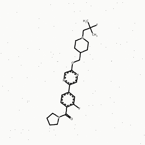 CC(C)(F)CN1CCC(COc2cnc(-c3ccc(C(=O)N4CCCC4)c(F)c3)cn2)CC1